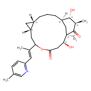 C/C(=C\c1ccc(C)cn1)C1C[C@@H]2C[C@@H]2CCC[C@@H]2C[C@@](C)(C(=O)[C@H](C)[C@H]2O)[C@@H](O)CC(=O)O1